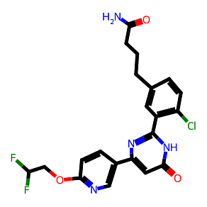 NC(=O)CCCc1ccc(Cl)c(-c2nc(-c3ccc(OCC(F)F)nc3)cc(=O)[nH]2)c1